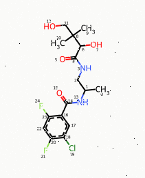 CC(CNC(=O)C(O)C(C)(C)CO)NC(=O)c1cc(Cl)c(F)cc1F